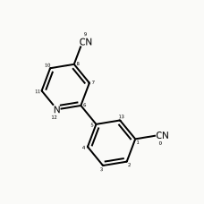 N#Cc1cccc(-c2cc(C#N)ccn2)c1